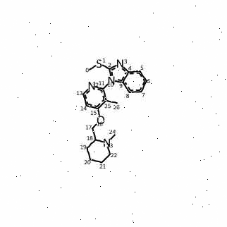 CSc1nc2ccccc2n1-c1nccc(OCC2CCCCN2C)c1C